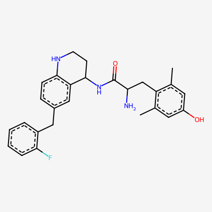 Cc1cc(O)cc(C)c1CC(N)C(=O)NC1CCNc2ccc(Cc3ccccc3F)cc21